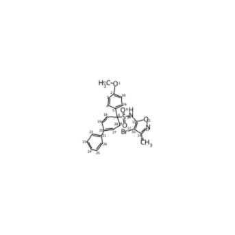 COc1ccc(C2(S(=O)(=O)Nc3onc(C)c3Br)C=CC(c3ccccc3)=CC2)cc1